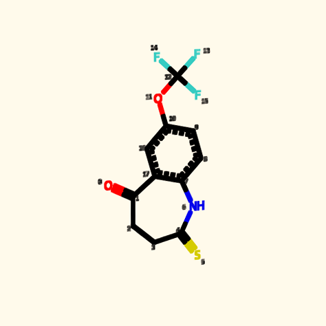 O=C1CCC(=S)Nc2ccc(OC(F)(F)F)cc21